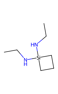 CCN[Si]1(NCC)CCC1